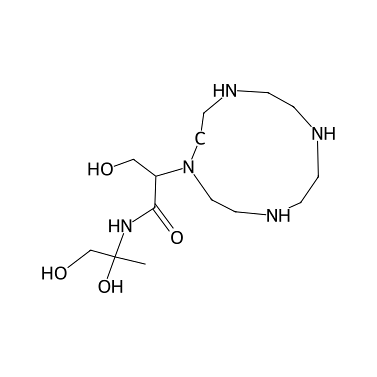 CC(O)(CO)NC(=O)C(CO)N1CCNCCNCCNCC1